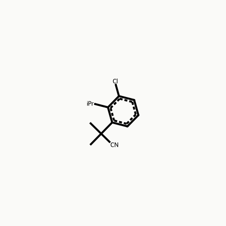 CC(C)c1c(Cl)cccc1C(C)(C)C#N